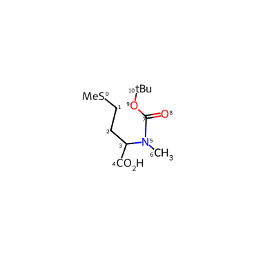 CSCCC(C(=O)O)N(C)C(=O)OC(C)(C)C